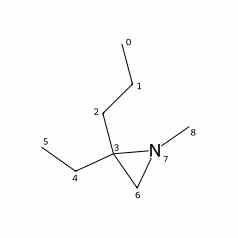 CCCC1(CC)CN1C